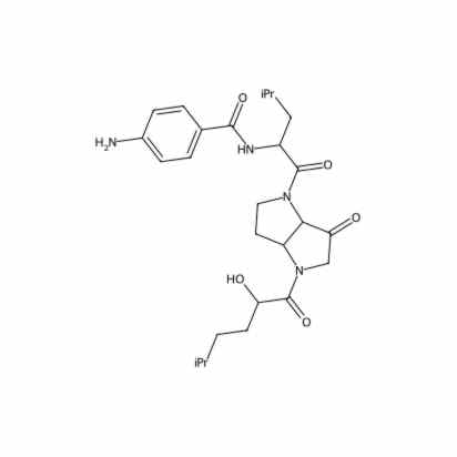 CC(C)CCC(O)C(=O)N1CC(=O)C2C1CCN2C(=O)C(CC(C)C)NC(=O)c1ccc(N)cc1